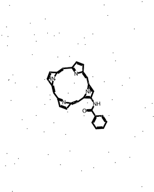 O=C(Nc1cc2cc3nc(cc4ccc(cc5nc(cc1[nH]2)C=C5)[nH]4)C=C3)c1ccccc1